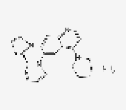 NC1CCCN(c2ccnc3ccc(N4C=CC=C[C@H]4c4nccs4)cc23)C1